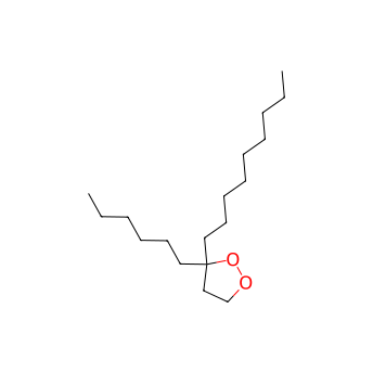 CCCCCCCCCC1(CCCCCC)CCOO1